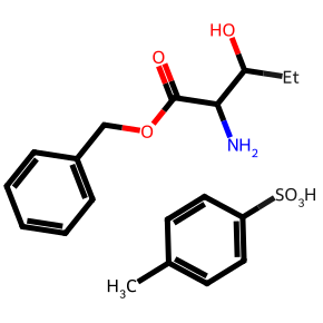 CCC(O)C(N)C(=O)OCc1ccccc1.Cc1ccc(S(=O)(=O)O)cc1